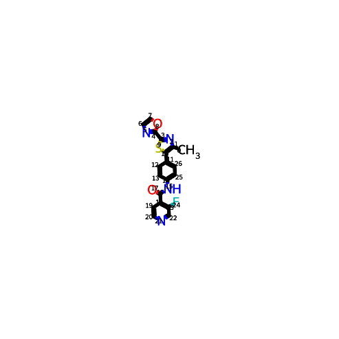 Cc1nc(-c2ncco2)sc1-c1ccc(NC(=O)c2ccncc2F)cc1